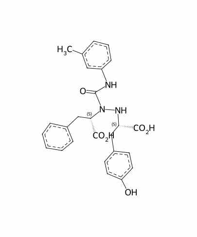 Cc1cccc(NC(=O)N(N[C@@H](Cc2ccc(O)cc2)C(=O)O)[C@@H](Cc2ccccc2)C(=O)O)c1